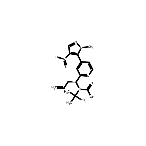 C=CC[C@@H](c1cc(-c2c([N+](=O)[O-])cnn2C)ccn1)N(C(=O)O)C(C)(C)C